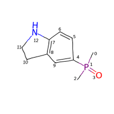 CP(C)(=O)c1ccc2c(c1)CCN2